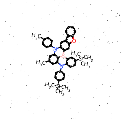 Cc1ccc(N2c3cc4c(cc3B3c5cc([Si](C)(C)C)ccc5N(c5ccc([Si](C)(C)C)cc5)c5cc(C)cc2c53)oc2ccccc24)cc1